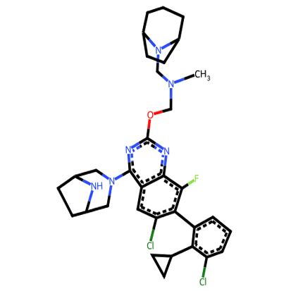 CN(COc1nc(N2CC3CCC(C2)N3)c2cc(Cl)c(-c3cccc(Cl)c3C3CC3)c(F)c2n1)CN1C2CCCC1CC2